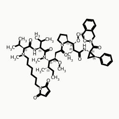 CC[C@H](C)[C@@H]([C@@H](CC(=O)N1CCC[C@H]1[C@H](OC)[C@@H](C)C(=O)N[C@@]1(C(=O)N2Cc3ccccc3CO2)C[C@@H]1c1ccccc1)OC)N(C)C(=O)[C@@H](NC(=O)[C@H](C(C)C)N(C)CCCCCCN1C(=O)C=CC1=O)C(C)C